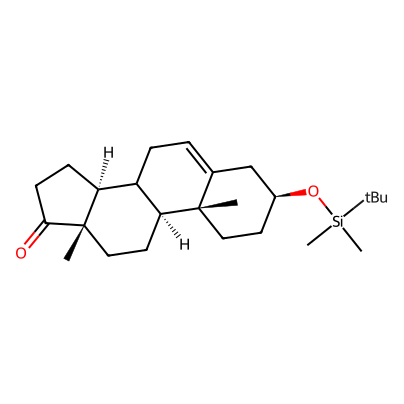 CC(C)(C)[Si](C)(C)O[C@H]1CC[C@@]2(C)C(=CCC3[C@@H]2CC[C@]2(C)C(=O)CC[C@@H]32)C1